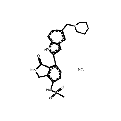 CS(=O)(=O)Nc1ccc(-c2cc3cc(CN4CCCCC4)ccc3[nH]2)c2c1CNC2=O.Cl